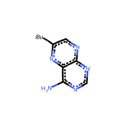 CCC(C)c1cnc2ncnc(N)c2n1